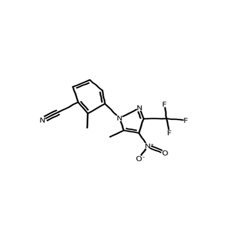 Cc1c(C#N)cccc1-n1nc(C(F)(F)F)c([N+](=O)[O-])c1C